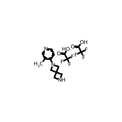 Cc1cnccc1N1CC2(CNC2)C1.O=C(O)C(F)(F)F.O=C(O)C(F)(F)F